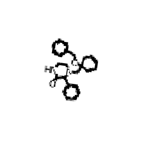 O=C1NCCN(CC2(OCc3ccccc3)C=CC=CC2)C1c1ccccc1